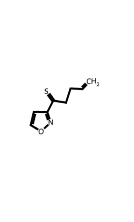 C=CCCC(=S)c1ccon1